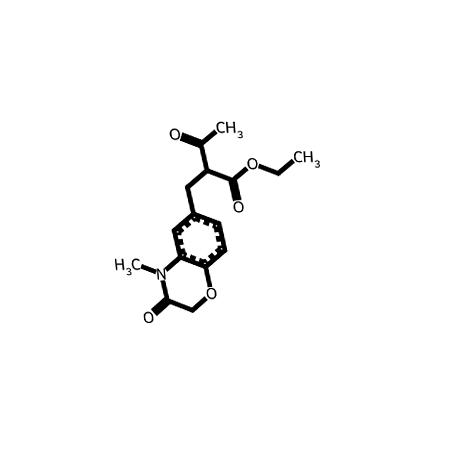 CCOC(=O)C(Cc1ccc2c(c1)N(C)C(=O)CO2)C(C)=O